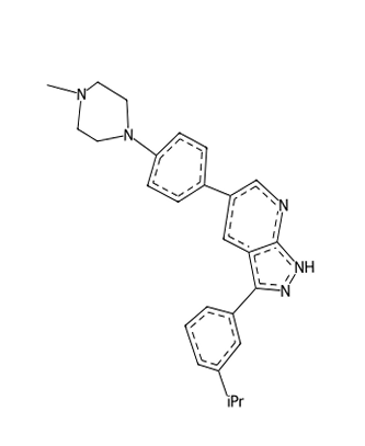 CC(C)c1cccc(-c2n[nH]c3ncc(-c4ccc(N5CCN(C)CC5)cc4)cc23)c1